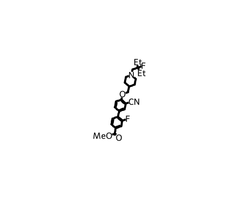 CCC(F)(CC)CN1CCC(COc2ccc(-c3ccc(C(=O)OC)cc3F)cc2C#N)CC1